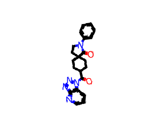 O=C(C1CCC2(CC1)CCN(c1ccccc1)C2=O)n1nnc2ncccc21